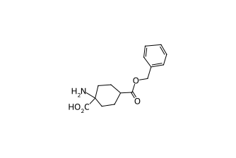 NC1(C(=O)O)CCC(C(=O)OCc2ccccc2)CC1